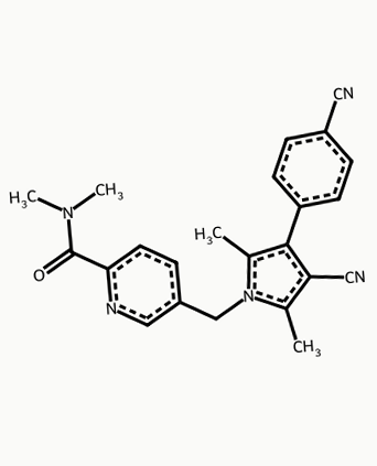 Cc1c(C#N)c(-c2ccc(C#N)cc2)c(C)n1Cc1ccc(C(=O)N(C)C)nc1